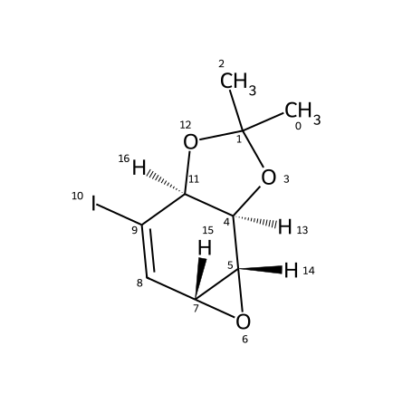 CC1(C)O[C@H]2[C@@H]3O[C@@H]3C=C(I)[C@H]2O1